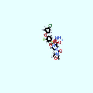 NOC(=O)[C@H]1CN(C(=O)N2CCOCC2)CCN1S(=O)(=O)c1ccc(Oc2ccc(Cl)cc2)c(F)c1